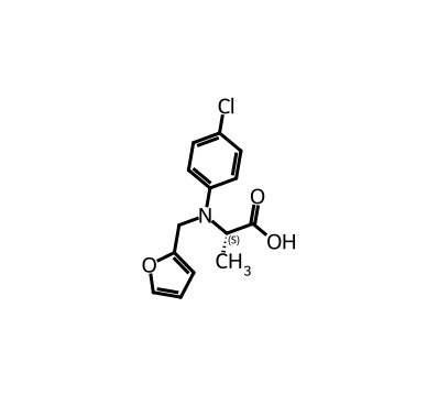 C[C@@H](C(=O)O)N(Cc1ccco1)c1ccc(Cl)cc1